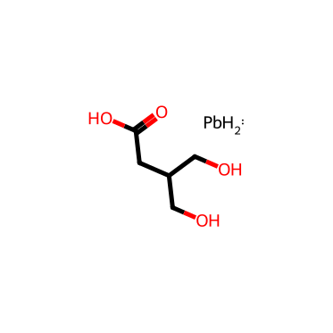 O=C(O)CC(CO)CO.[PbH2]